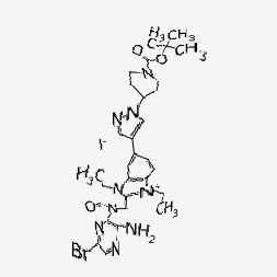 CCn1c(CN(C=O)c2nc(Br)cnc2N)[n+](CC)c2ccc(-c3cnn(C4CCN(C(=O)OC(C)(C)C)CC4)c3)cc21.[I-]